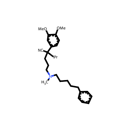 COc1ccc(C(C#N)(CCCN(C)CCCCCc2ccccc2)C(C)C)cc1OC